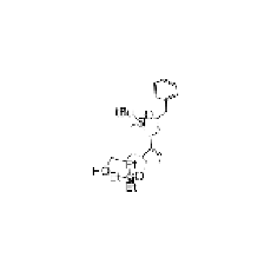 CC[Si](CC)(CC)O[C@H]1CC=C(CC[C@@H](Cc2ccccc2)O[Si](C)(C)C(C)(C)C)[C@H]1CCCO